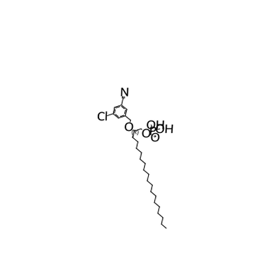 CCCCCCCCCCCCCCCCCC[C@H](COP(=O)(O)O)OCc1cc(Cl)cc(C#N)c1